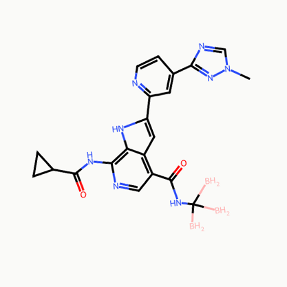 BC(B)(B)NC(=O)c1cnc(NC(=O)C2CC2)c2[nH]c(-c3cc(-c4ncn(C)n4)ccn3)cc12